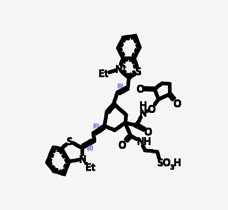 CCN1/C(=C/C=C2C=C(/C=C/c3sc4ccccc4[n+]3CC)CC(C(=O)NCCS(=O)(=O)O)(C(=O)NOC3C(=O)CCC3=O)C/2)Sc2ccccc21